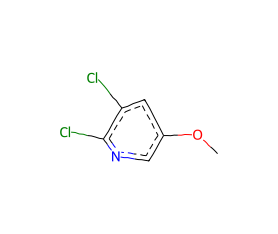 COc1cnc(Cl)c(Cl)c1